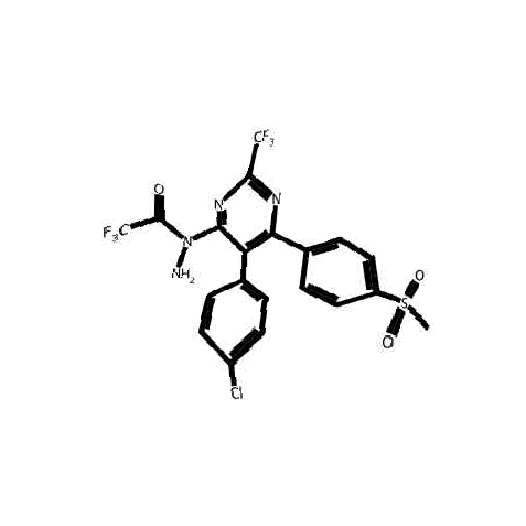 CS(=O)(=O)c1ccc(-c2nc(C(F)(F)F)nc(N(N)C(=O)C(F)(F)F)c2-c2ccc(Cl)cc2)cc1